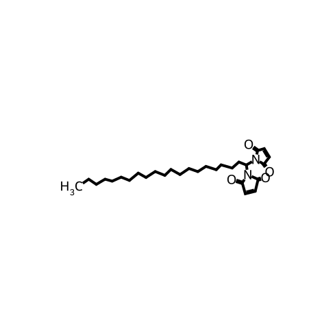 CCCCCCCCCCCCCCCCCCCCC(N1C(=O)C=CC1=O)N1C(=O)C=CC1=O